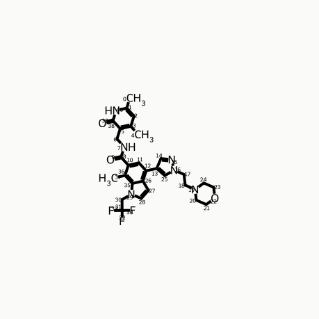 Cc1cc(C)c(CNC(=O)c2cc(-c3cnn(CCN4CCOCC4)c3)c3ccn(CC(F)(F)F)c3c2C)c(=O)[nH]1